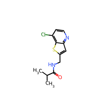 CC(C)C(=O)NCc1cc2nccc(Cl)c2s1